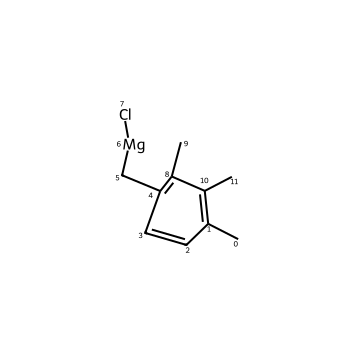 Cc1ccc([CH2][Mg][Cl])c(C)c1C